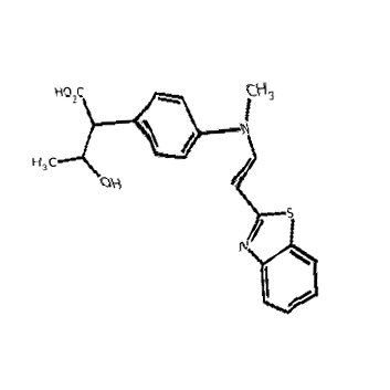 CC(O)C(C(=O)O)c1ccc(N(C)/C=C/c2nc3ccccc3s2)cc1